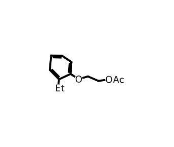 CCc1ccccc1OCCOC(C)=O